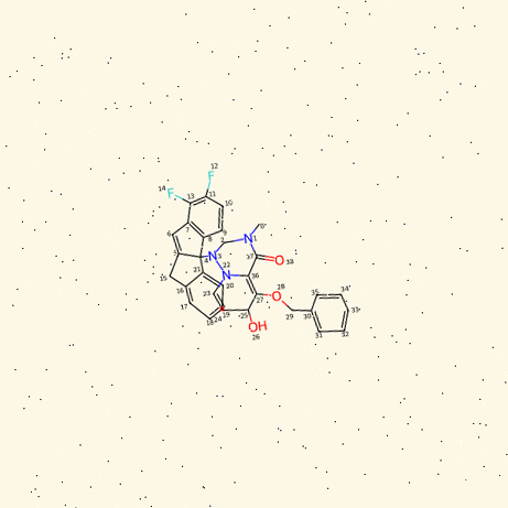 CN1CN(C23C(=Cc4c2ccc(F)c4F)Cc2ccccc23)N2C=CC(O)C(OCc3ccccc3)=C2C1=O